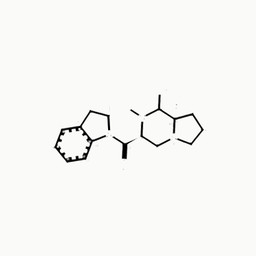 CC(C)(C)C1[C@H]2CCCN2C[C@@H](C(=O)N2CCc3ccccc32)N1C(=O)O